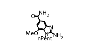 CCCCCn1c(N)nc2cc(C(N)=O)cc(OC)c21